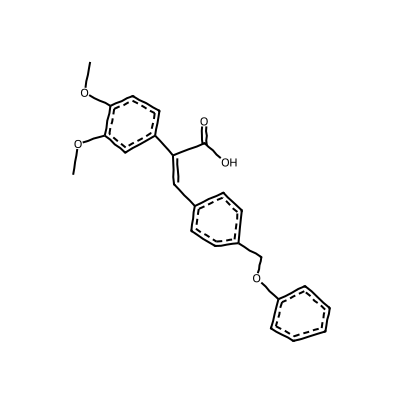 COc1ccc(C(=Cc2ccc(COc3ccccc3)cc2)C(=O)O)cc1OC